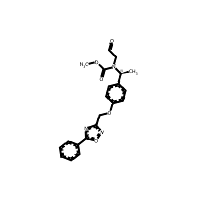 COC(=O)N(CC=O)[C@@H](C)c1ccc(OCc2noc(-c3ccccc3)n2)cc1